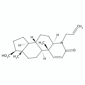 C=CCN1C(=O)C=C[C@]2(C)[C@H]3CC[C@]4(C)[C@@H](C(=O)O)CC[C@H]4[C@@H]3CC[C@@H]12